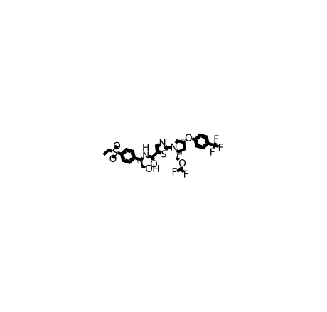 CCS(=O)(=O)c1ccc([C@H](CO)NC(=O)c2cnc(N3C[C@@H](Oc4ccc(C(F)(F)F)cc4)C[C@H]3COC(F)F)s2)cc1